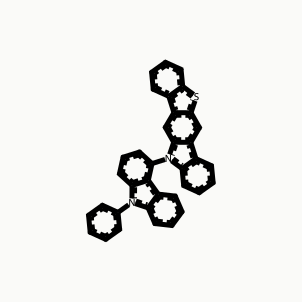 c1ccc(-n2c3ccccc3c3c(-n4c5ccccc5c5cc6sc7ccccc7c6cc54)cccc32)cc1